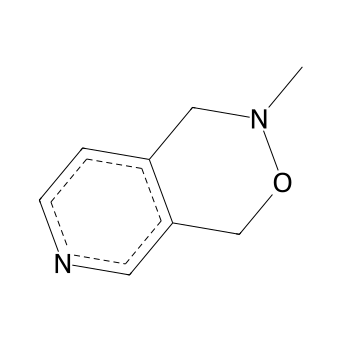 CN1Cc2ccncc2CO1